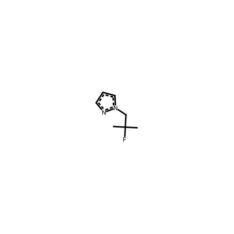 CC(C)(F)Cn1c[c]cn1